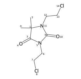 CC1(C)C(=O)N(CCCl)C(=O)N1CCCl